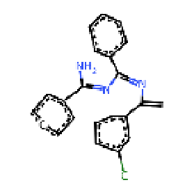 C=C(/N=C(\N=C(/N)c1ccccc1)c1ccccc1)c1cccc(Cl)c1